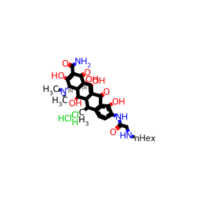 CCCCCCNCC(=O)Nc1ccc2c(c1O)C(=O)C1=C(O)[C@]3(O)C(=O)C(C(N)=O)=C(O)[C@@H](N(C)C)C3C(O)C1C2C.Cl.Cl